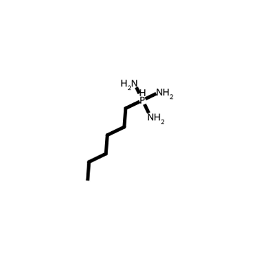 CCCCCC[PH](N)(N)N